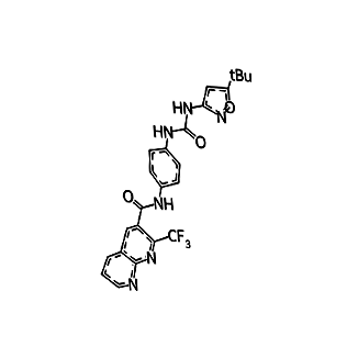 CC(C)(C)c1cc(NC(=O)Nc2ccc(NC(=O)c3cc4cccnc4nc3C(F)(F)F)cc2)no1